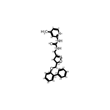 Cc1ccnc(NC(=O)NCC2=NOC(COc3ccccc3-c3ccccc3)C2)c1